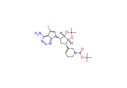 CC(C)(C)OC(=O)N1CCC=C([C@H]2C[C@@H](n3cc(I)c4c(N)ncnc43)[C@@H]3OC(C)(C)O[C@@H]32)C1